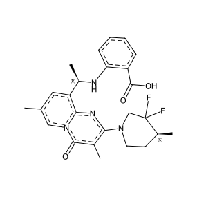 Cc1cc([C@@H](C)Nc2ccccc2C(=O)O)c2nc(N3CC[C@H](C)C(F)(F)C3)c(C)c(=O)n2c1